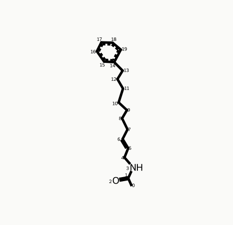 CC(=O)NC/C=C/CCCCCCCc1ccccc1